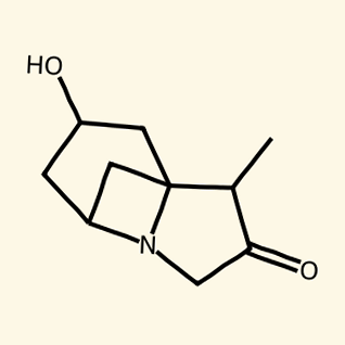 CC1C(=O)CN2C3CC(O)CC12C3